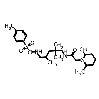 Cc1ccc(S(=O)(=O)ONCC(C)CC(C)(C)CNC(=O)CN2C(C)CCCC2C)cc1